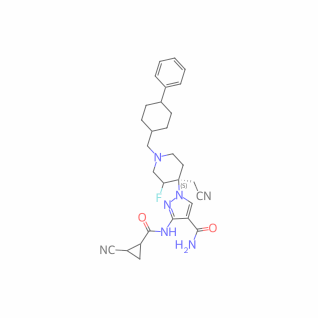 N#CC[C@@]1(n2cc(C(N)=O)c(NC(=O)C3CC3C#N)n2)CCN(CC2CCC(c3ccccc3)CC2)CC1F